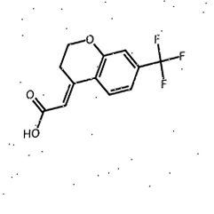 O=C(O)C=C1CCOc2cc(C(F)(F)F)ccc21